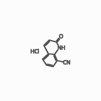 Cl.N#Cc1cccc2ccc(=O)[nH]c12